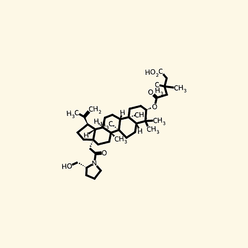 C=C(C)[C@@H]1CC[C@]2(CC(=O)N3CCC[C@@H]3CO)CC[C@]3(C)[C@H](CC[C@@H]4[C@@]5(C)CC[C@H](OC(=O)CC(C)(C)CC(=O)O)C(C)(C)[C@@H]5CC[C@]43C)[C@@H]12